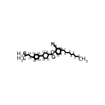 CCCCCCCCc1ccc(OC(=O)C2CCC(c3ccc(CCC(C)C)cc3)CC2)c(C#N)c1